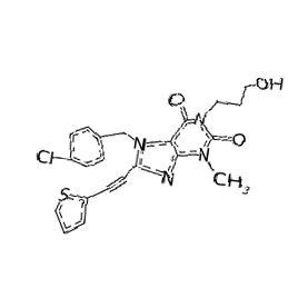 Cn1c(=O)n(CCCO)c(=O)c2c1nc(C#Cc1cccs1)n2Cc1ccc(Cl)cc1